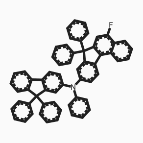 Fc1cc2c(c3ccccc13)-c1ccc(N(c3ccccc3)c3ccc4c(c3)C(c3ccccc3)(c3ccccc3)c3ccccc3-4)cc1C2(c1ccccc1)c1ccccc1